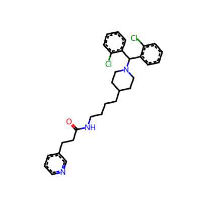 O=C(CCc1cccnc1)NCCCCC1CCN(C(c2ccccc2Cl)c2ccccc2Cl)CC1